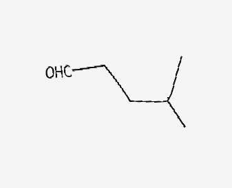 C[C](C)CCC=O